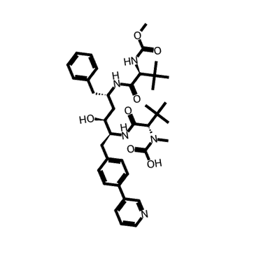 COC(=O)N[C@H](C(=O)N[C@@H](Cc1ccccc1)C[C@H](O)[C@H](Cc1ccc(-c2cccnc2)cc1)NC(=O)[C@@H](N(C)C(=O)O)C(C)(C)C)C(C)(C)C